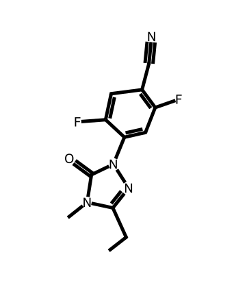 CCc1nn(-c2cc(F)c(C#N)cc2F)c(=O)n1C